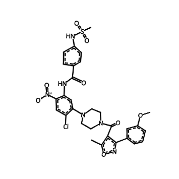 COc1cccc(-c2noc(C)c2C(=O)N2CCN(c3cc(NC(=O)c4ccc(NS(C)(=O)=O)cc4)c([N+](=O)[O-])cc3Cl)CC2)c1